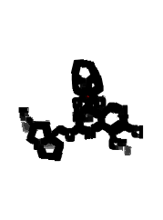 CC(C)(C)OC(=O)N1C2CCC1CN(c1nc(OC[C@@]34CCCN3C[C@H](F)C4)nc3c(C(F)(F)F)c(Cl)ncc13)C2